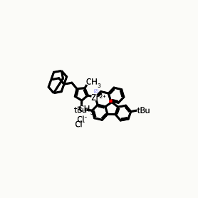 CC1=[C](/[Zr+2](=[CH]/c2ccccc2)[c]2c(C(C)(C)C)ccc3c2Cc2cc(C(C)(C)C)ccc2-3)C(C)C=C1CC12CC3CC(CC(C3)C1)C2.[Cl-].[Cl-]